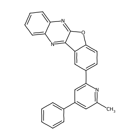 Cc1cc(-c2ccccc2)cc(-c2ccc3oc4nc5ccccc5nc4c3c2)n1